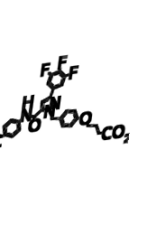 O=Cc1ccc(NC(=O)c2cc(-c3cc(F)c(F)c(F)c3)nn2Cc2ccc(OCCCC(=O)O)cc2)cc1